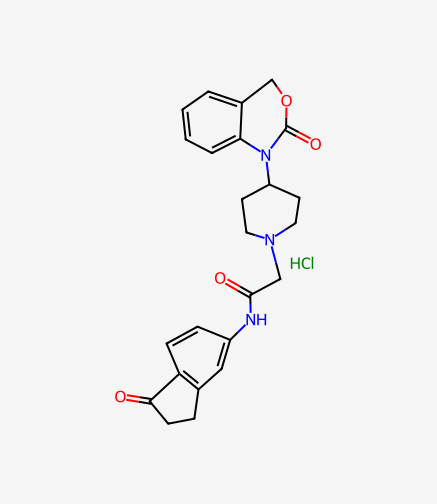 Cl.O=C(CN1CCC(N2C(=O)OCc3ccccc32)CC1)Nc1ccc2c(c1)CCC2=O